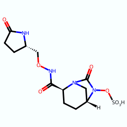 O=C1CC[C@@H](CONC(=O)[C@@H]2CC[C@@H]3CN2C(=O)N3OS(=O)(=O)O)N1